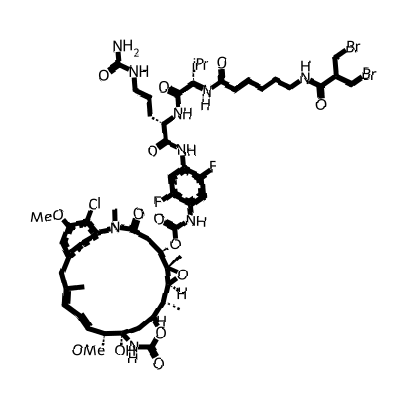 COc1cc2cc(c1Cl)N(C)C(=O)C[C@H](OC(=O)Nc1cc(F)c(NC(=O)[C@H](CCCNC(N)=O)NC(=O)[C@@H](NC(=O)CCCCCNC(=O)C(CBr)CBr)C(C)C)cc1F)[C@]1(C)O[C@H]1[C@H](C)[C@@H]1C[C@@](O)(NC(=O)O1)[C@H](OC)/C=C/C=C(\C)C2